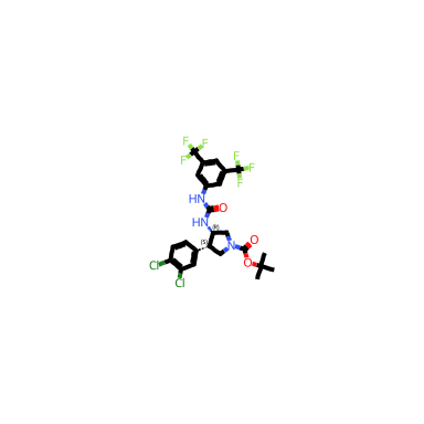 CC(C)(C)OC(=O)N1C[C@H](NC(=O)Nc2cc(C(F)(F)F)cc(C(F)(F)F)c2)[C@@H](c2ccc(Cl)c(Cl)c2)C1